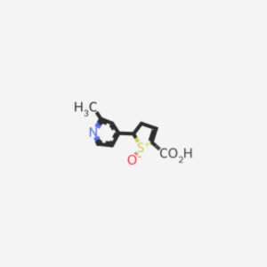 Cc1cc(C2CC=C(C(=O)O)[S+]2[O-])ccn1